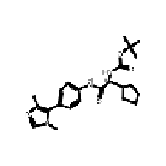 Cc1ncn(C)c1-c1ccc(NC(=O)[C@@H](NC(=O)OC(C)(C)C)C2CCCC2)cc1